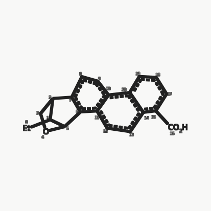 CCC1C2COC1c1c2ccc2c1ccc1c(C(=O)O)cccc12